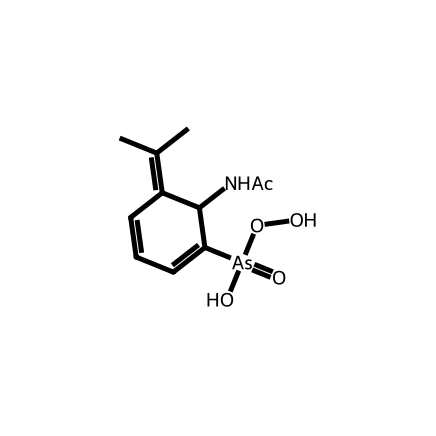 CC(=O)NC1C([As](=O)(O)OO)=CC=CC1=C(C)C